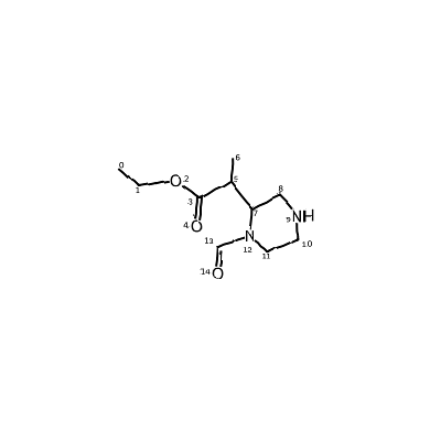 CCOC(=O)C(C)C1CNCCN1C=O